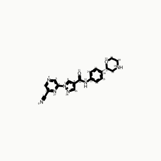 N#Cc1cncc(-n2cc(C(=O)Nc3ccc([C@H]4CNCCO4)cc3)cn2)n1